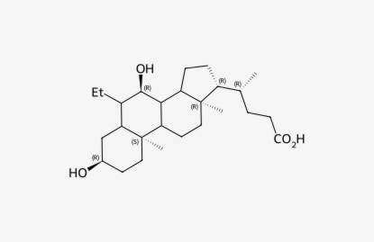 CCC1C2C[C@H](O)CC[C@]2(C)C2CC[C@@]3(C)C(CC[C@@H]3[C@H](C)CCC(=O)O)C2[C@@H]1O